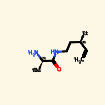 C=C[C@H](CC)CCNC(=O)[C@@H](N)C(C)(C)C